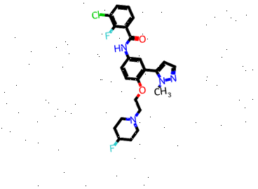 Cn1nccc1-c1cc(NC(=O)c2cccc(Cl)c2F)ccc1OCCN1CCC(F)CC1